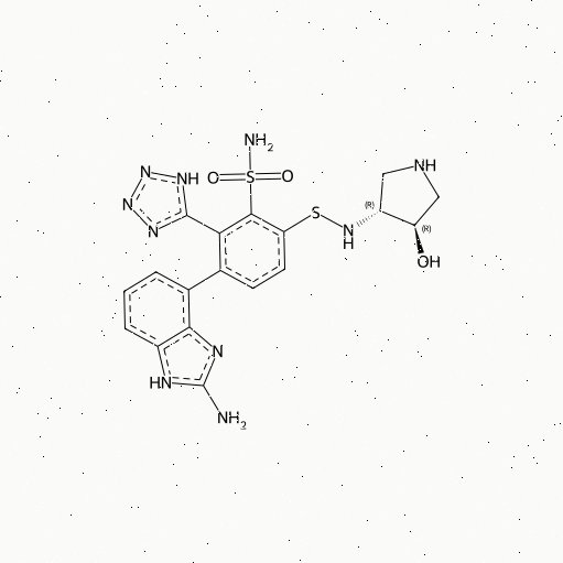 Nc1nc2c(-c3ccc(SN[C@@H]4CNC[C@H]4O)c(S(N)(=O)=O)c3-c3nnn[nH]3)cccc2[nH]1